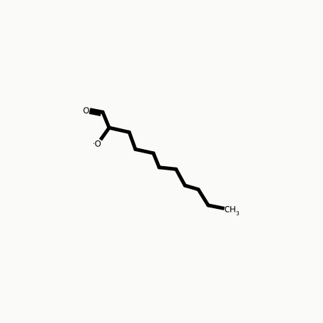 CCCCCCCCCC([O])C=O